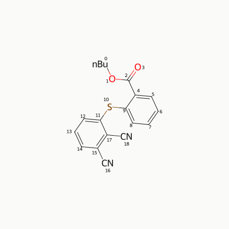 CCCCOC(=O)c1ccccc1Sc1cccc(C#N)c1C#N